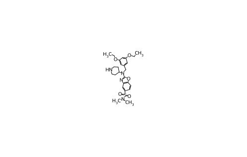 CCOc1cc(CN(c2nc3cc(S(=O)(=O)N(C)C)ccc3o2)C2CCNCC2)cc(OCC)c1